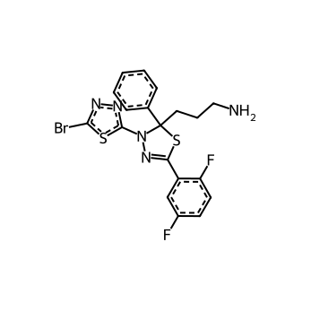 NCCCC1(c2ccccc2)SC(c2cc(F)ccc2F)=NN1c1nnc(Br)s1